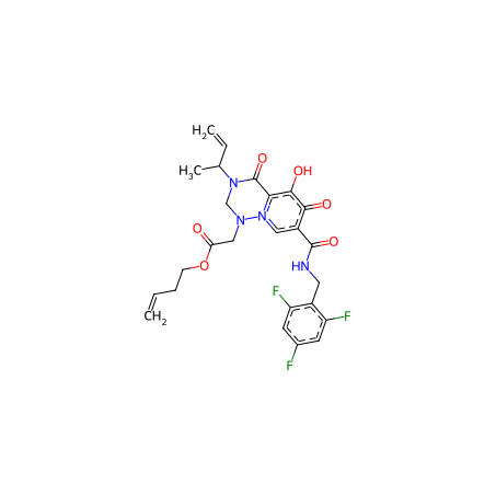 C=CCCOC(=O)CN1CN(C(C)C=C)C(=O)c2c(O)c(=O)c(C(=O)NCc3c(F)cc(F)cc3F)cn21